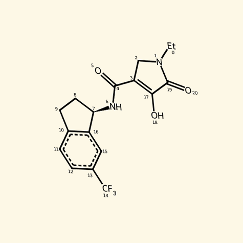 CCN1CC(C(=O)N[C@@H]2CCc3ccc(C(F)(F)F)cc32)=C(O)C1=O